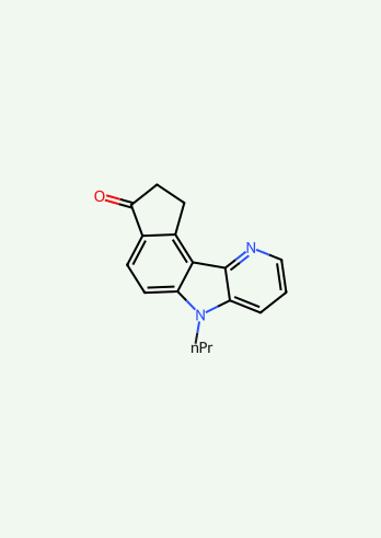 CCCn1c2cccnc2c2c3c(ccc21)C(=O)CC3